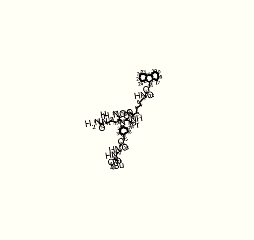 CC(C)[C@H](NC(=O)CCCCCNC(=O)OCC1c2ccccc2-c2ccccc21)C(=O)N(c1ccc(COC(=O)NCNC(=O)OC(C)(C)C)cc1)[C@@H](CCCNC(N)=O)C(N)=O